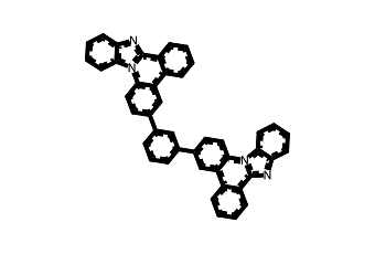 c1cc(-c2ccc3c(c2)c2ccccc2c2nc4ccccc4n32)cc(-c2ccc3c(c2)c2ccccc2c2nc4ccccc4n32)c1